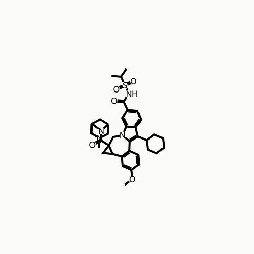 COc1ccc2c(c1)C1CC1(C(=O)N1C3CC1CN(C)C3)Cn1c-2c(C2CCCCC2)c2ccc(C(=O)NS(=O)(=O)C(C)C)cc21